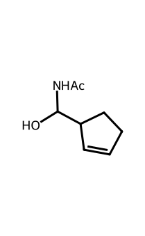 CC(=O)NC(O)C1C=CCC1